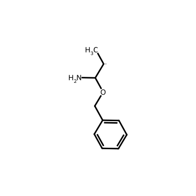 C[CH]C(N)OCc1ccccc1